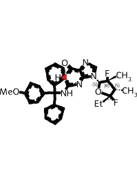 CC[C@@]1(F)O[C@H](n2cnc3c(=O)[nH]c(NC(c4ccccc4)(c4ccccc4)c4ccc(OC)cc4)nc32)[C@](C)(F)[C@@H]1C